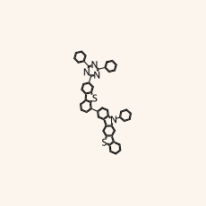 c1ccc(-c2nc(-c3ccccc3)nc(-c3ccc4c(c3)sc3c(-c5ccc6c(c5)c5cc7sc8ccccc8c7cc5n6-c5ccccc5)cccc34)n2)cc1